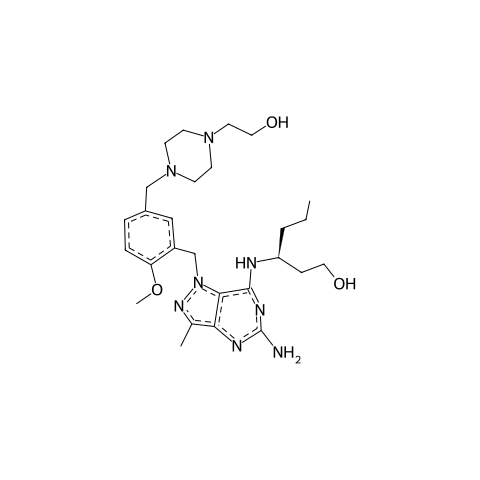 CCC[C@@H](CCO)Nc1nc(N)nc2c(C)nn(Cc3cc(CN4CCN(CCO)CC4)ccc3OC)c12